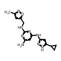 Cc1cc(CNc2nc(N)cc(Nc3cc(C4CC4)[nH]n3)n2)on1